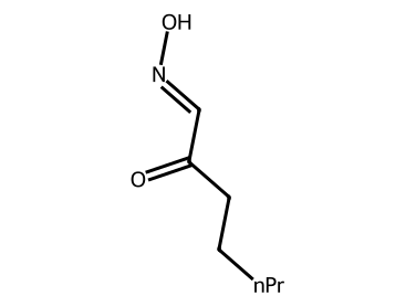 CCCCCC(=O)C=NO